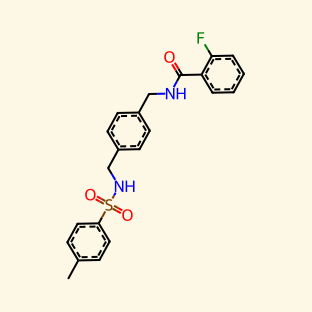 Cc1ccc(S(=O)(=O)NCc2ccc(CNC(=O)c3ccccc3F)cc2)cc1